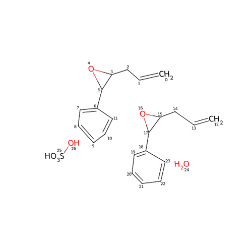 C=CCC1OC1c1ccccc1.C=CCC1OC1c1ccccc1.O.O=S(=O)(O)O